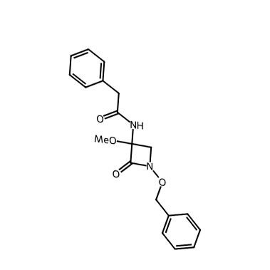 COC1(NC(=O)Cc2ccccc2)CN(OCc2ccccc2)C1=O